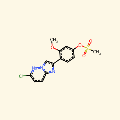 COc1cc(OS(C)(=O)=O)ccc1-c1cn2nc(Cl)ccc2n1